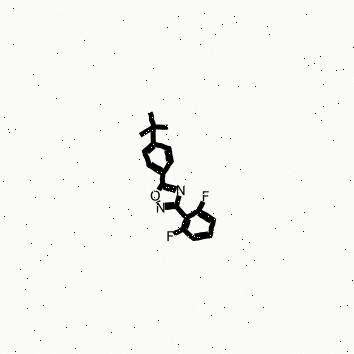 CC(C)(C)c1ccc(-c2nc(-c3c(F)cccc3F)no2)cc1